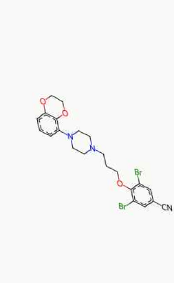 N#Cc1cc(Br)c(OCCCN2CCN(c3cccc4c3OCCO4)CC2)c(Br)c1